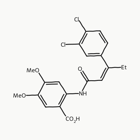 CC/C(=C/C(=O)Nc1cc(OC)c(OC)cc1C(=O)O)c1ccc(Cl)c(Cl)c1